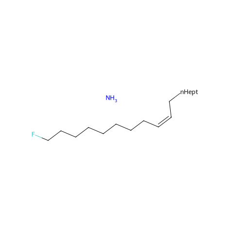 CCCCCCCC/C=C\CCCCCCCCF.N